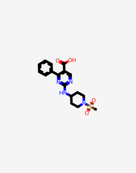 CS(=O)(=O)N1CCC(Nc2ncc(C(=O)O)c(-c3ccccc3)n2)CC1